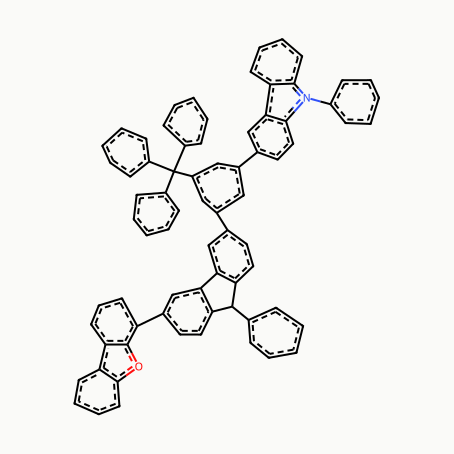 c1ccc(C2c3ccc(-c4cc(-c5ccc6c(c5)c5ccccc5n6-c5ccccc5)cc(C(c5ccccc5)(c5ccccc5)c5ccccc5)c4)cc3-c3cc(-c4cccc5c4oc4ccccc45)ccc32)cc1